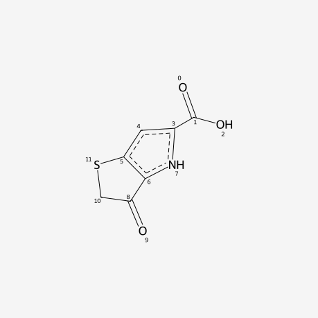 O=C(O)c1cc2c([nH]1)C(=O)CS2